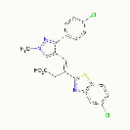 Cn1cc(/C=C(\CC(=O)O)c2nc3cc(Cl)ccc3s2)c(-c2ccc(Cl)cc2)n1